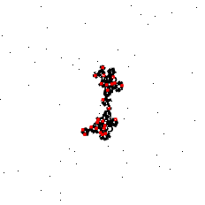 Cc1cc2c3c(c1)N(c1cc(C(C)(C)C)cc(C(C)(C)C)c1)c1c(sc4ccccc14)B3c1cc3c(cc1N2c1ccc(-c2cccc(CC(C)(C)c4ccc(N5c6cc(C)cc7c6B(c6cc8c(cc6N7c6c(C)cc(-c7ccccc7)cc6C)C(C)(C)CCC8(C)C)c6sc7ccccc7c65)cc4)c2C)cc1C)C(C)(C)CCC3(C)C